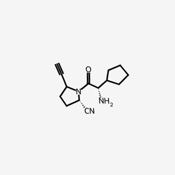 C#CC1CC[C@@H](C#N)N1C(=O)[C@@H](N)C1CCCC1